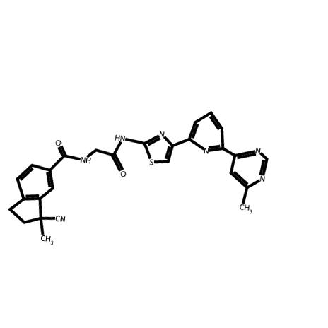 Cc1cc(-c2cccc(-c3csc(NC(=O)CNC(=O)c4ccc5c(c4)C(C)(C#N)CC5)n3)n2)ncn1